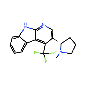 CN1CCC[C@H]1c1cnc2[nH]c3ccccc3c2c1C(F)(F)F